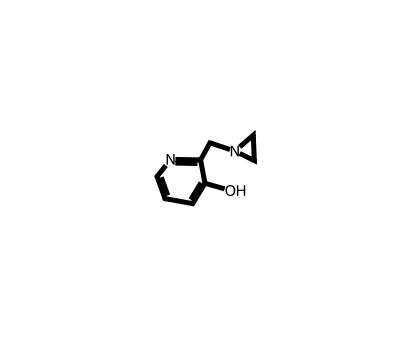 Oc1cccnc1CN1CC1